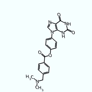 CN(C)Cc1ccc(C(=O)Oc2ccc(-n3cnc4c(=O)[nH]c(=O)[nH]c43)cc2)cc1